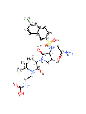 CC(C)N(CCNC(=O)O)C(=O)[C@H](C)N1CC[C@H](N(CC(N)=O)S(=O)(=O)c2ccc3cc(Cl)ccc3c2)C1=O